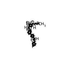 COCCNC(=O)c1ccc(Nc2nc3ccc(-c4ccc(NC(=O)Cc5ccc(F)cc5)cc4)cn3n2)c(OC)c1